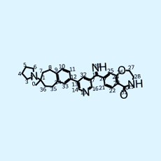 CC1(N2CCCC2)CCc2ccc(-c3cncc(C(=N)c4ccc5c(c4)OCCNC5=O)c3)cc2CC1